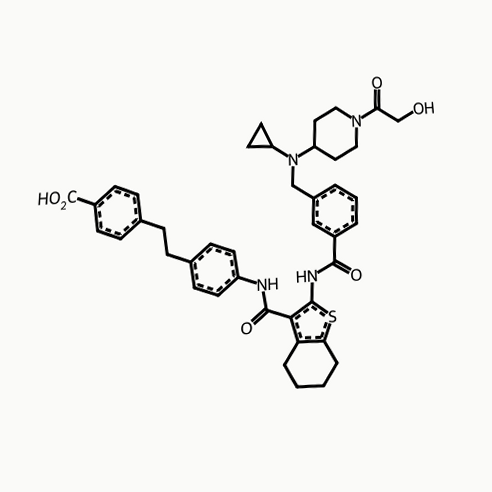 O=C(O)c1ccc(CCc2ccc(NC(=O)c3c(NC(=O)c4cccc(CN(C5CC5)C5CCN(C(=O)CO)CC5)c4)sc4c3CCCC4)cc2)cc1